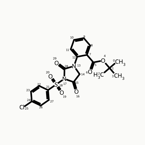 CC(C)(C)OC(=O)c1ccccc1N1CC(=O)N(S(=O)(=O)c2ccc(Cl)cc2)C1=O